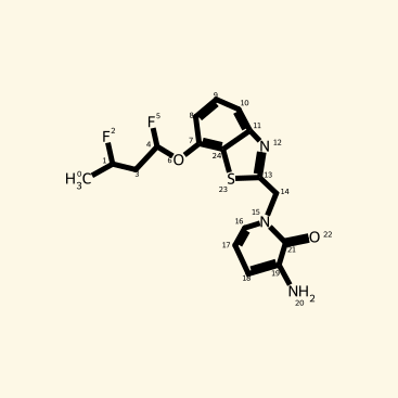 CC(F)CC(F)Oc1cccc2nc(Cn3cccc(N)c3=O)sc12